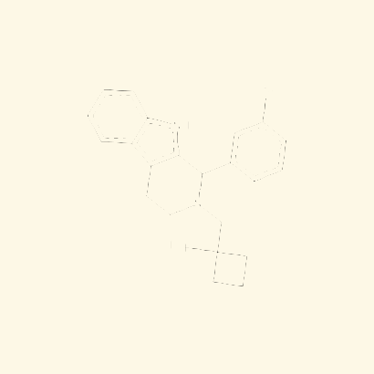 C[C@@H]1Cc2c([nH]c3ccccc23)C(c2cccc(Br)c2)N1CC1(F)CCC1